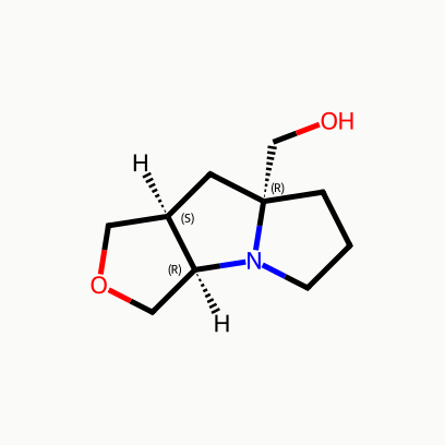 OC[C@]12CCCN1[C@H]1COC[C@H]1C2